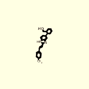 OCc1ccccc1-c1ccc2[nH]c(C=Cc3ccc(C(F)(F)F)cc3)nc2c1